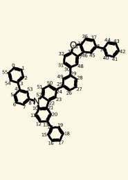 c1ccc(-c2cccc(-n3c4ccc(-c5ccccc5)cc4c4cc(-c5cccc(-c6ccc7oc8ccc(-c9ccccc9)cc8c7c6)c5)ccc43)c2)cc1